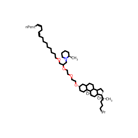 CCCCC/C=C\C/C=C\CCCCCCCCOCC(CN1CCCC[C@H]1C)OCCOCCO[C@H]1CC[C@@]2(C)C(CCC3C2CC[C@@]2(C)C3CC[C@@H]2[C@H](C)CCCC(C)C)C1